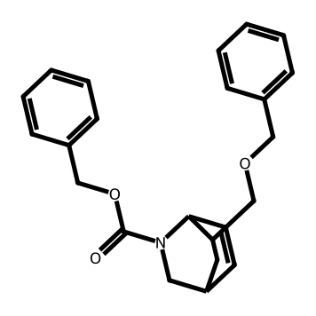 O=C(OCc1ccccc1)N1CC2C=CC1C(COCc1ccccc1)C2